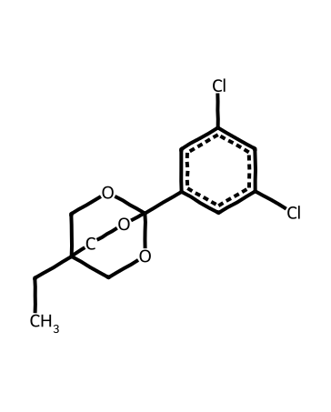 CCC12COC(c3cc(Cl)cc(Cl)c3)(OC1)OC2